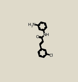 Nc1cccc(NC(=O)C=Cc2cccc(Cl)c2)c1